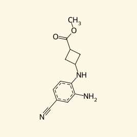 COC(=O)C1CC(Nc2ccc(C#N)cc2N)C1